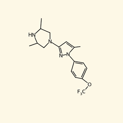 Cc1cc(N2CC(C)NC(C)C2)nn1-c1ccc(OC(F)(F)F)cc1